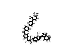 C[C@@H](C(=O)N(C)c1ccc2cc(-c3n[nH]c4c3CCC(C)(C)C4)[nH]c2c1)N1CCN(CC2CCN(c3ccc(C4CCC(=O)NC4=O)cn3)CC2)CC1